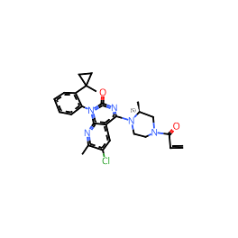 C=CC(=O)N1CCN(c2nc(=O)n(-c3ccccc3C3(C)CC3)c3nc(C)c(Cl)cc23)[C@@H](C)C1